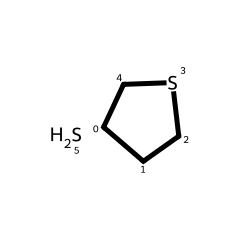 C1CCSC1.S